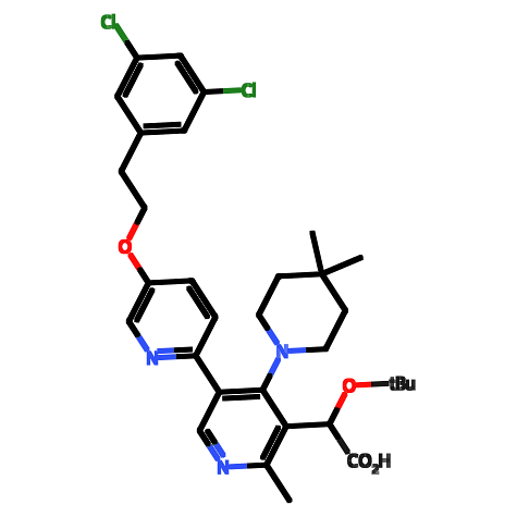 Cc1ncc(-c2ccc(OCCc3cc(Cl)cc(Cl)c3)cn2)c(N2CCC(C)(C)CC2)c1C(OC(C)(C)C)C(=O)O